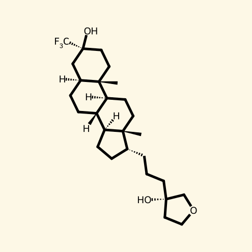 C[C@]12CC[C@@](O)(C(F)(F)F)C[C@@H]1CC[C@@H]1[C@@H]2CC[C@]2(C)[C@H](CCC[C@]3(O)CCOC3)CC[C@@H]12